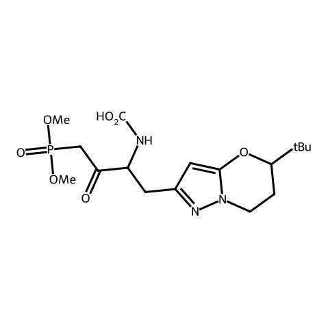 COP(=O)(CC(=O)C(Cc1cc2n(n1)CCC(C(C)(C)C)O2)NC(=O)O)OC